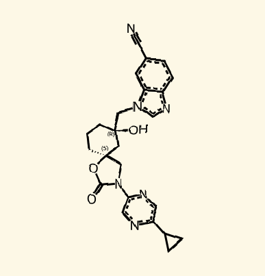 N#Cc1ccc2ncn(C[C@@]3(O)CCC[C@@]4(CN(c5cnc(C6CC6)cn5)C(=O)O4)C3)c2c1